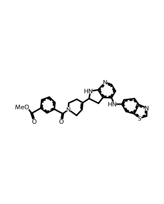 COC(=O)c1cccc(C(=O)N2CC=C(C3Cc4c(Nc5ccc6ncsc6c5)ccnc4N3)CC2)c1